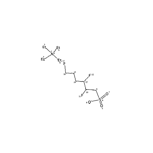 CC[N+](CC)(CC)CC.O=S(=O)([O-])CC(F)C(F)CCCF